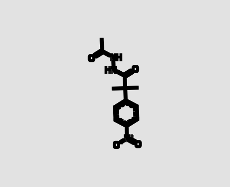 CC(=O)NNC(=O)C(C)(C)c1ccc([N+](=O)[O-])cc1